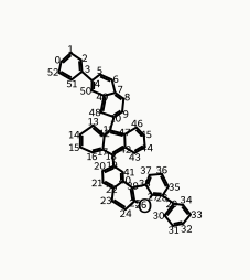 c1ccc(-c2ccc3ccc(-c4c5ccccc5c(-c5ccc6ccc7oc8c(-c9ccccc9)cccc8c7c6c5)c5ccccc45)cc3c2)cc1